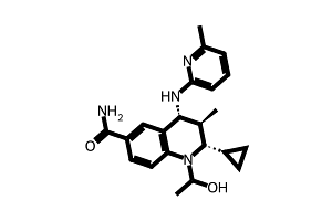 Cc1cccc(N[C@H]2c3cc(C(N)=O)ccc3N(C(C)O)[C@@H](C3CC3)[C@@H]2C)n1